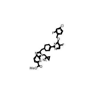 COC(=O)c1ccc2nc(CC3CC=C(c4ncc(F)c(OCc5ccc(Cl)cc5F)n4)CC3)n(CC3(C#N)CC3)c2n1